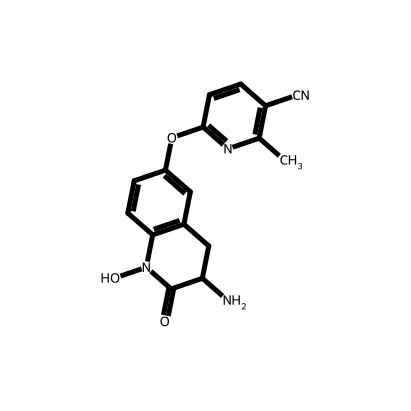 Cc1nc(Oc2ccc3c(c2)CC(N)C(=O)N3O)ccc1C#N